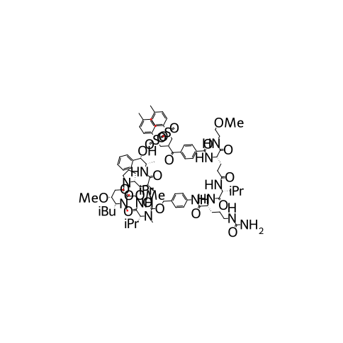 CC[C@@H](C)C([C@@H](CC(=O)N1CCC[C@@H]1[C@H](OC)[C@H](C)C(=O)N[C@@H](C)[C@@H](O)c1ccccc1)OC)N(C)C(=O)[C@@H](NC(=O)[C@@H](C(C)C)N(C)C(=O)OCc1ccc(NC(=O)[C@@H](CCCNC(N)=O)NC(=O)[C@H](NC(=O)CC[C@H](NC(=O)c2ccc(C(=O)C(CS(=O)(=O)c3ccc(C)cc3)CS(=O)(=O)c3ccc(C)cc3)cc2)C(=O)NCCOC)C(C)C)cc1)C(C)C